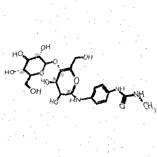 CNC(=O)Nc1ccc(N[C@@H]2OC(CO)[C@@H](OC3OC(CO)[C@H](O)C(O)[C@@H]3O)[C@H](O)C2O)cc1